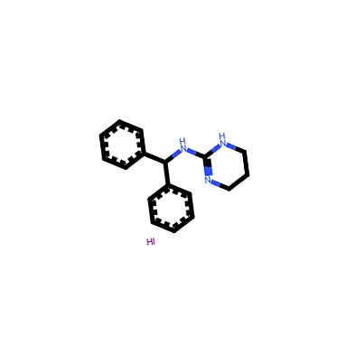 I.c1ccc(C(NC2=NCCCN2)c2ccccc2)cc1